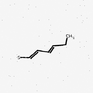 [CH2]CC=CC=C[S]